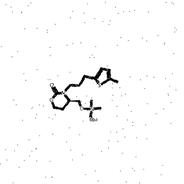 Cc1ccc(CCCN2C(=O)OCC[C@@H]2CO[Si](C)(C)C(C)(C)C)s1